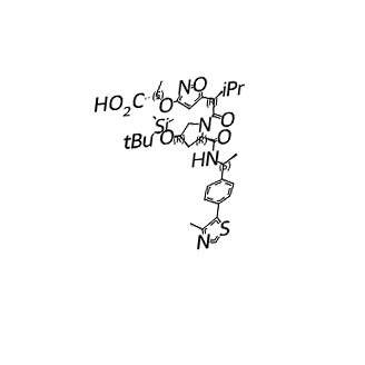 Cc1ncsc1-c1ccc([C@H](C)NC(=O)[C@H]2C[C@@H](O[Si](C)(C)C(C)(C)C)CN2C(=O)[C@@H](c2cc(O[C@@H](C)C(=O)O)no2)C(C)C)cc1